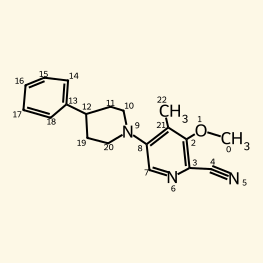 COc1c(C#N)ncc(N2CCC(c3ccccc3)CC2)c1C